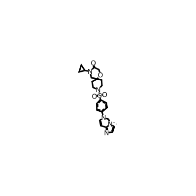 O=C1COC2(CCN(S(=O)(=O)c3ccc(N4C=CC5=NC=C[N+]5C4)cc3)CC2)CN1C1CC1